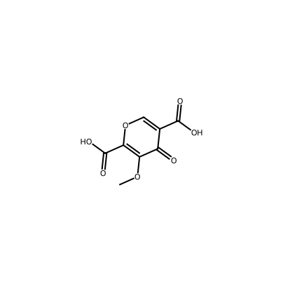 COc1c(C(=O)O)occ(C(=O)O)c1=O